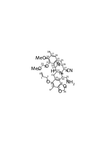 C=CCOc1c(C)c2c(c3c1C[C@H]1C4c5c(cc(C)c(OC)c5OCOC)CC(C(C#N)N1C3CN)N4C)OCO2